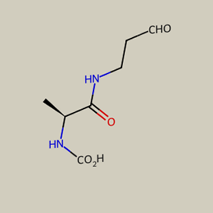 C[C@H](NC(=O)O)C(=O)NCCC=O